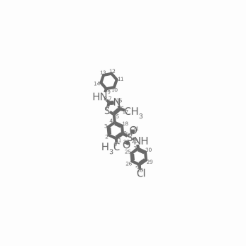 Cc1ccc(-c2sc(NC3CCCCC3)nc2C)cc1S(=O)(=O)Nc1ccc(Cl)cc1